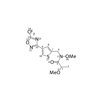 COC(C)C(=O)N(Cc1cc(-c2noc(C(F)(F)F)n2)cs1)OC